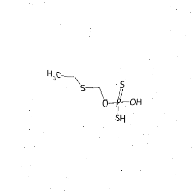 CCSCOP(O)(=S)S